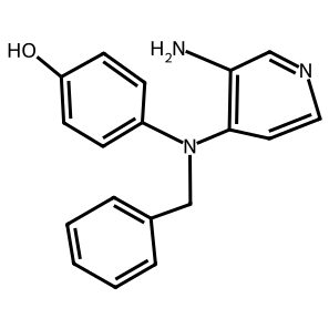 Nc1cnccc1N(Cc1ccccc1)c1ccc(O)cc1